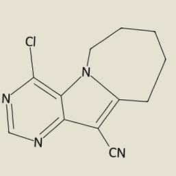 N#Cc1c2n(c3c(Cl)ncnc13)CCCCC2